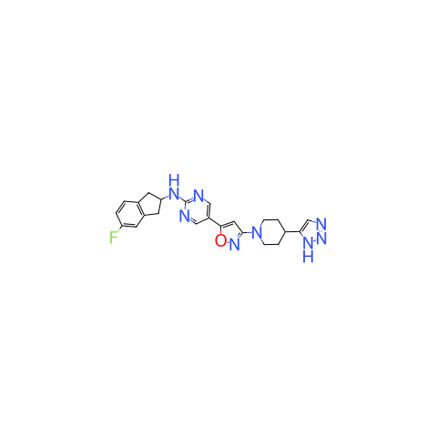 Fc1ccc2c(c1)CC(Nc1ncc(-c3cc(N4CCC(c5cnn[nH]5)CC4)no3)cn1)C2